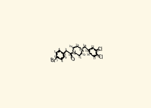 O=C(Cc1ccc(Br)cc1)N1CCN(Cc2ccc(Cl)c(Cl)c2)CC1